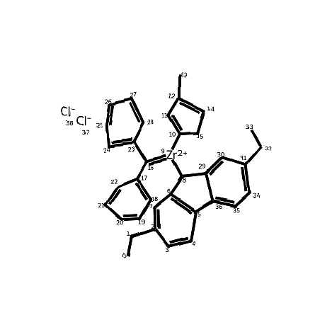 CCc1ccc2c(c1)[CH]([Zr+2]([C]1=CC(C)=CC1)=[C](c1ccccc1)c1ccccc1)c1cc(CC)ccc1-2.[Cl-].[Cl-]